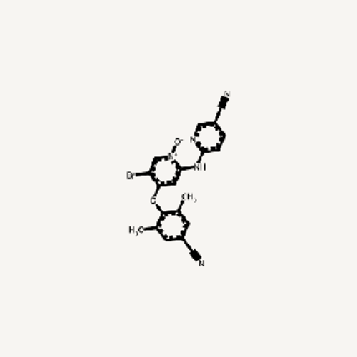 Cc1cc(C#N)cc(C)c1Oc1cc(Nc2ccc(C#N)cn2)[n+]([O-])cc1Br